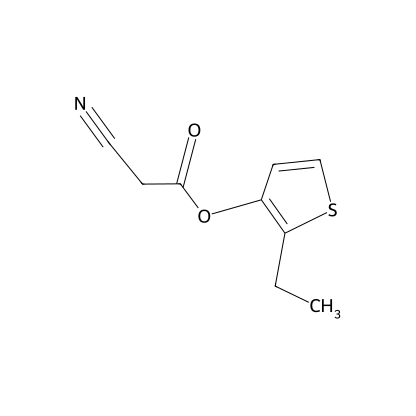 CCc1sccc1OC(=O)CC#N